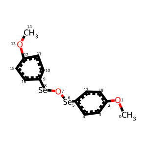 COc1ccc([Se]O[Se]c2ccc(OC)cc2)cc1